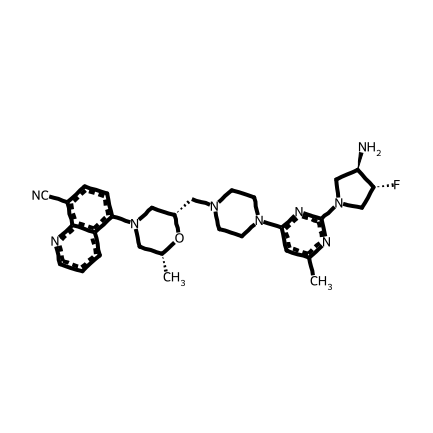 Cc1cc(N2CCN(C[C@H]3CN(c4ccc(C#N)c5ncccc45)C[C@@H](C)O3)CC2)nc(N2C[C@@H](N)[C@H](F)C2)n1